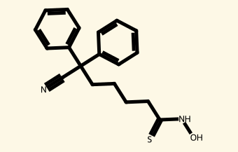 N#CC(CCCCC(=S)NO)(c1ccccc1)c1ccccc1